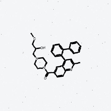 COCC(O)CN1CCN(C(=O)c2ccc3nc(C)cc(-c4ccccc4-c4ccccc4)c3c2)CC1